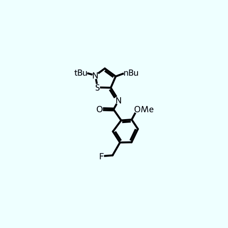 CCCCc1cn(C(C)(C)C)sc1=NC(=O)c1cc(CF)ccc1OC